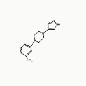 Cc1cccc(C2CCN(c3cn[nH]c3)CC2)c1